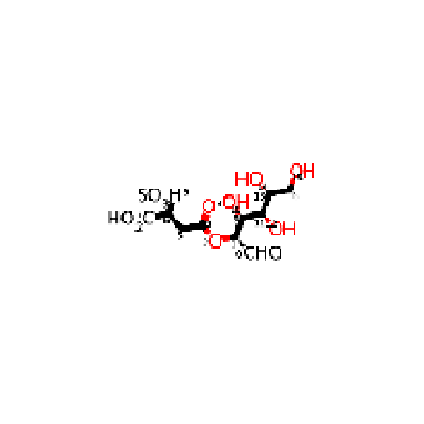 O=C[C@H](OC(=O)CC(C(=O)O)S(=O)(=O)O)[C@@H](O)[C@H](O)[C@H](O)CO